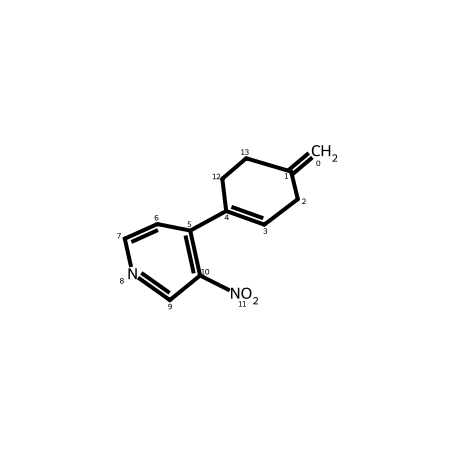 C=C1CC=C(c2ccncc2[N+](=O)[O-])CC1